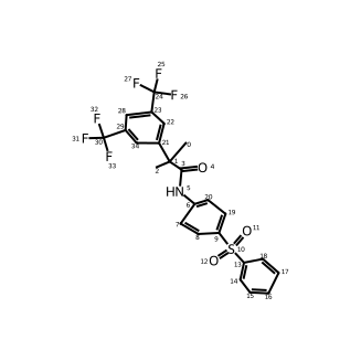 CC(C)(C(=O)Nc1ccc(S(=O)(=O)c2ccccc2)cc1)c1cc(C(F)(F)F)cc(C(F)(F)F)c1